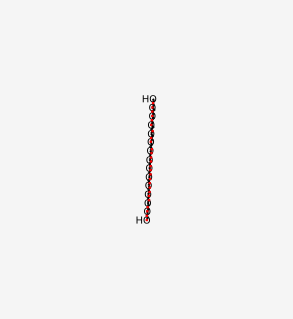 OCCCOCCCOCCCOCCCOCCCOCCCOCCCOCCCOCCCOCCCOCCCOCCCOCCCOCCCO